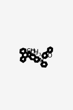 CC1(C)c2cc3cc(N(c4ccccc4)c4ccc5c(c4)oc4ccccc45)ccc3cc2-c2c1c1ccccc1c1ccccc21